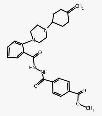 C=C1CCC(N2CCN(c3ccccc3C(=O)NNC(=O)c3ccc(C(=O)OC)cc3)CC2)CC1